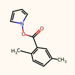 Cc1ccc(C)c(C(=O)On2cccc2)c1